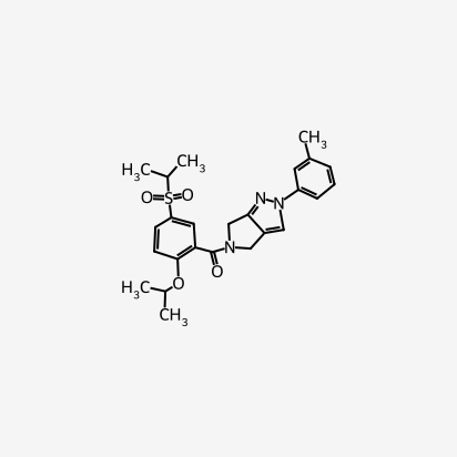 Cc1cccc(-n2cc3c(n2)CN(C(=O)c2cc(S(=O)(=O)C(C)C)ccc2OC(C)C)C3)c1